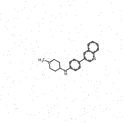 CN1CCC(Nc2ccc(-c3cnc4ccccc4c3)cc2)CC1